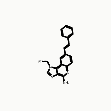 CC(C)Cn1cnc2c(N)nc3ccc(/C=C/c4ccccc4)cc3c21